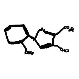 CCOC(=O)c1nn(-c2ccccc2OC)cc1C=O